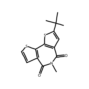 Cn1c(=O)c2ccsc2c2sc(C(C)(C)C)cc2c1=O